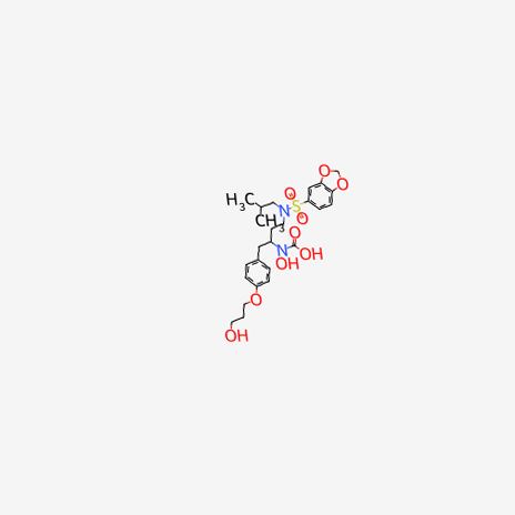 CC(C)CN(CCC(Cc1ccc(OCCCO)cc1)N(O)C(=O)O)S(=O)(=O)c1ccc2c(c1)OCO2